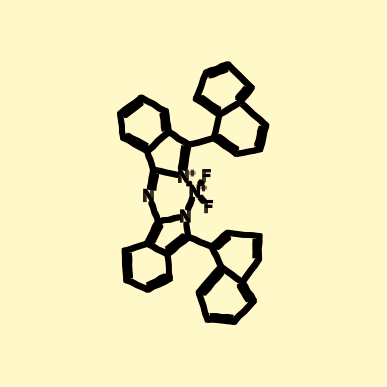 F[N+]1(F)n2c(c3ccccc3c2-c2cccc3ccccc23)N=C2c3ccccc3C(c3cccc4ccccc34)=[N+]21